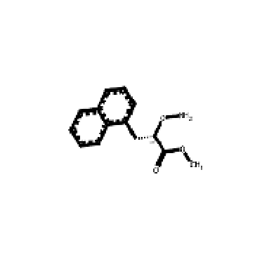 COC(=O)[C@H](Cc1cccc2ccccc12)ON